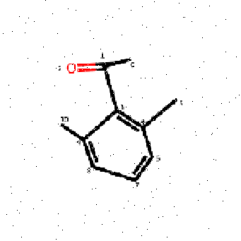 CC(=O)c1c(C)cccc1C